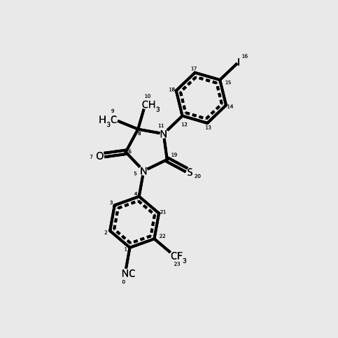 [C-]#[N+]c1ccc(N2C(=O)C(C)(C)N(c3ccc(I)cc3)C2=S)cc1C(F)(F)F